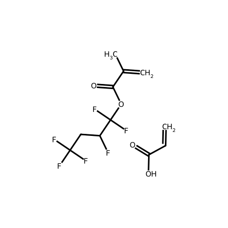 C=C(C)C(=O)OC(F)(F)C(F)CC(F)(F)F.C=CC(=O)O